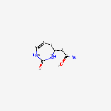 NC(=O)CC1CC=CNC(=O)N1